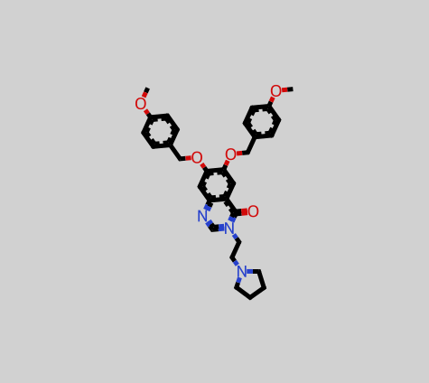 COc1ccc(COc2cc3ncn(CCN4CCCC4)c(=O)c3cc2OCc2ccc(OC)cc2)cc1